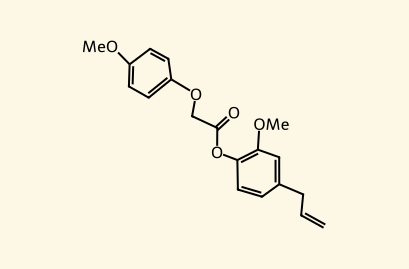 C=CCc1ccc(OC(=O)COc2ccc(OC)cc2)c(OC)c1